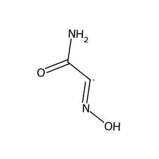 NC(=O)/[C]=N/O